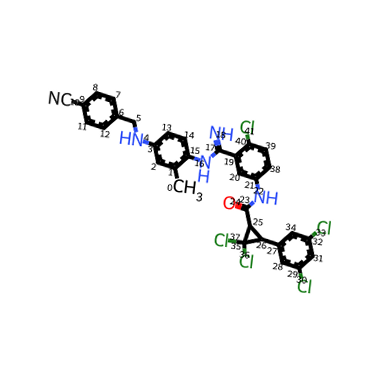 Cc1cc(NCc2ccc(C#N)cc2)ccc1NC(=N)c1cc(NC(=O)C2C(c3cc(Cl)cc(Cl)c3)C2(Cl)Cl)ccc1Cl